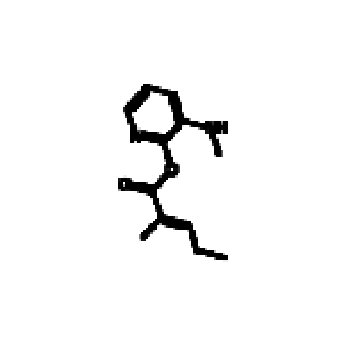 CCC=C(C)C(=O)Oc1ncccc1NC